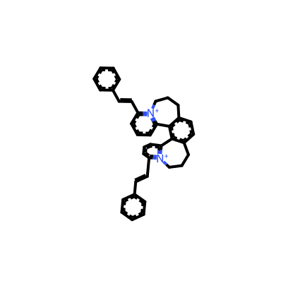 C(=C\c1cccc2[n+]1CCCc1ccc3c(c1-2)-c1cccc(/C=C/c2ccccc2)[n+]1CCC3)/c1ccccc1